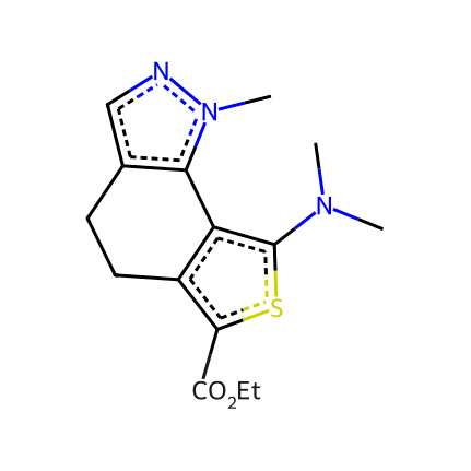 CCOC(=O)c1sc(N(C)C)c2c1CCc1cnn(C)c1-2